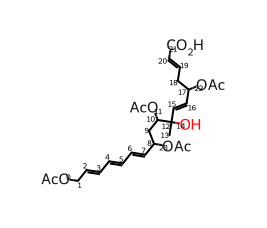 CC(=O)OC/C=C/C=C/C=C/C(CC(OC(C)=O)C(C)(O)/C=C/C(C/C=C/C(=O)O)OC(C)=O)OC(C)=O